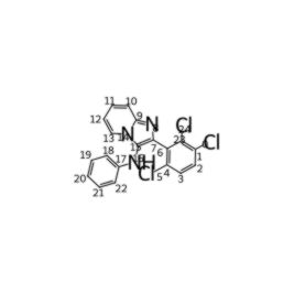 Clc1ccc(Cl)c(-c2nc3ccccn3c2Nc2ccccc2)c1Cl